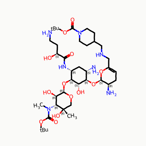 CN(C(=O)OC(C)(C)C)[C@@H]1[C@@H](O)[C@@H](O[C@@H]2[C@@H](O)[C@H](O[C@H]3OC(CNCC4CCN(C(=O)OC(C)(C)C)CC4)=CC[C@H]3N)[C@@H](N)C[C@H]2NC(=O)[C@@H](O)CCN)OC[C@]1(C)O